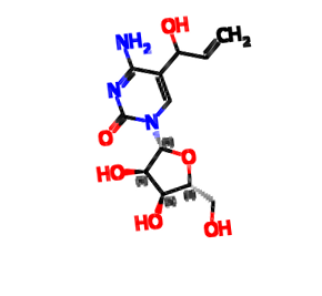 C=CC(O)c1cn([C@@H]2O[C@H](CO)[C@@H](O)[C@H]2O)c(=O)nc1N